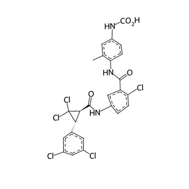 Cc1cc(NC(=O)O)ccc1NC(=O)c1cc(NC(=O)[C@H]2[C@H](c3cc(Cl)cc(Cl)c3)C2(Cl)Cl)ccc1Cl